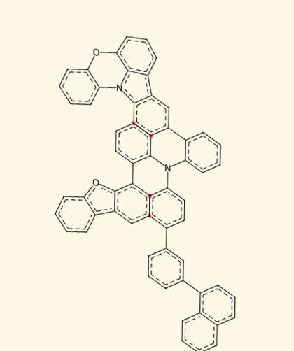 c1cc(-c2ccc(N(c3ccccc3-c3ccc4c(c3)c3cccc5c3n4-c3ccccc3O5)c3ccccc3-c3cccc4c3oc3ccccc34)cc2)cc(-c2cccc3ccccc23)c1